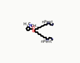 CCCCC/C=C\C/C=C\CCCCCCCCC(CCCCCCCC/C=C\C/C=C\CCCCC)OC(=O)C1CCCCC1N(C)C